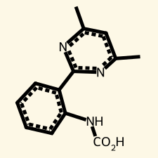 Cc1cc(C)nc(-c2ccccc2NC(=O)O)n1